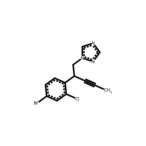 CC#CC(Cn1cncn1)c1ccc(Br)cc1Cl